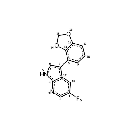 Fc1cnc2[nH]cc(-c3cccc4c3OCO4)c2c1